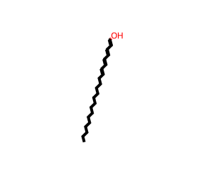 CCCCCCCCCCCCCCC=CC=CC=CC=CO